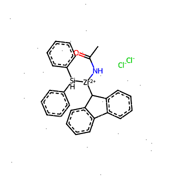 CC(=O)[NH][Zr+2]([CH]1c2ccccc2-c2ccccc21)[SiH](c1ccccc1)c1ccccc1.[Cl-].[Cl-]